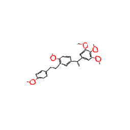 COc1ccc(CCc2cc(C(C)c3cc(OC)c(OC)c(OC)c3)ccc2OC)cc1